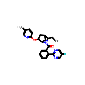 Cc1ccc(OC2CC3CC2N(C(=O)c2ccccc2-c2ncc(F)cn2)C3CC(C)C)nc1